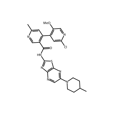 COc1cnc(Cl)cc1-c1cc(C)ncc1C(=O)Nc1nc2ncc(N3CCC(C)CC3)nc2s1